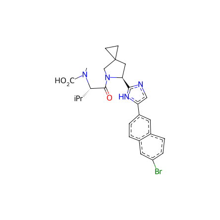 CC(C)[C@@H](C(=O)N1CC2(CC2)C[C@H]1c1ncc(-c2ccc3cc(Br)ccc3c2)[nH]1)N(C)C(=O)O